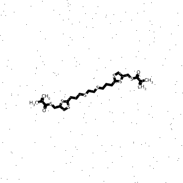 C=C(C)C(=O)SCC1CSC(CCCSCCSCCCC2SCC(CSC(=O)C(=C)C)S2)S1